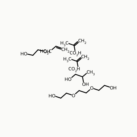 C=C(C)C(=O)O.C=C(C)C(=O)O.C=CC(=O)O.CC(O)CO.OCCO.OCCOCCOCCO